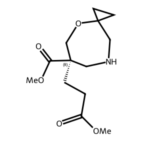 COC(=O)CC[C@@]1(C(=O)OC)CNCC2(CC2)OC1